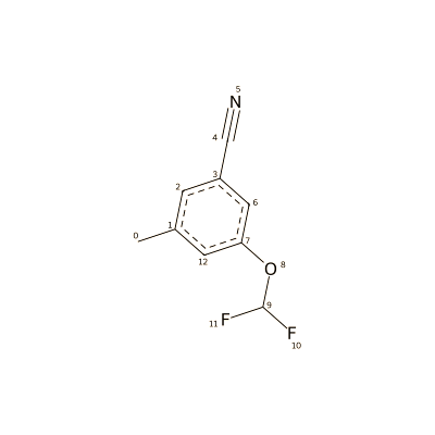 Cc1cc(C#N)cc(OC(F)F)c1